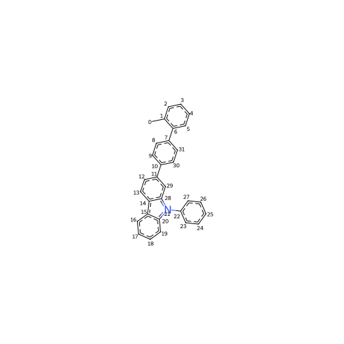 Cc1ccccc1-c1ccc(-c2ccc3c4ccccc4n(-c4ccccc4)c3c2)cc1